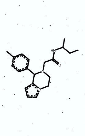 CCC(C)NC(=O)CN1CCn2cccc2C1c1ccc(C)cc1